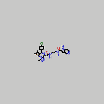 Cc1sc2c(c1C)C(c1ccc(Cl)cc1)=N[C@@H](CC(=O)NCCCNC(=O)c1cc3cnccc3[nH]1)c1nnc(C)n1-2